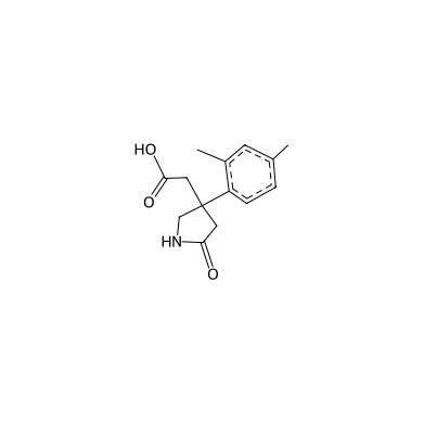 Cc1ccc(C2(CC(=O)O)CNC(=O)C2)c(C)c1